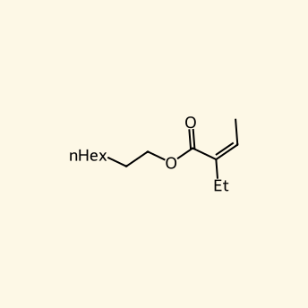 CC=C(CC)C(=O)OCCCCCCCC